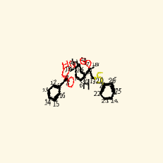 C[C@@]1(O)[C@@H]2C[C@H](C[C@@H]1OC(=O)c1ccccc1)[C@@](C)(CSc1ccccc1)OO2